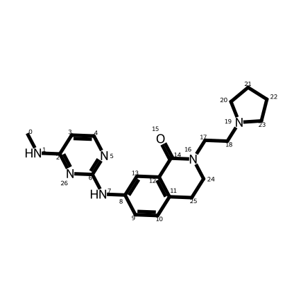 CNc1ccnc(Nc2ccc3c(c2)C(=O)N(CCN2CCCC2)CC3)n1